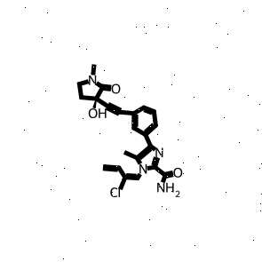 C=C/C(Cl)=C\n1c(C(N)=O)nc(-c2cccc(C#C[C@]3(O)CCN(C)C3=O)c2)c1C